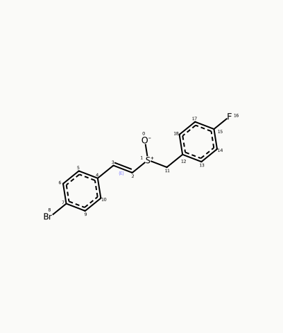 [O-][S+](/C=C/c1ccc(Br)cc1)Cc1ccc(F)cc1